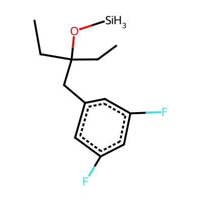 CCC(CC)(Cc1cc(F)cc(F)c1)O[SiH3]